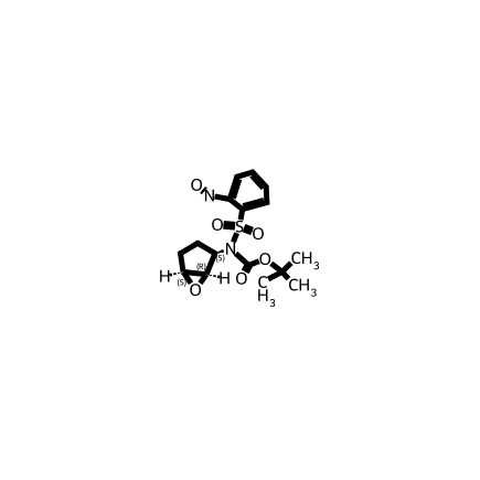 CC(C)(C)OC(=O)N([C@H]1CC[C@@H]2O[C@@H]21)S(=O)(=O)c1ccccc1N=O